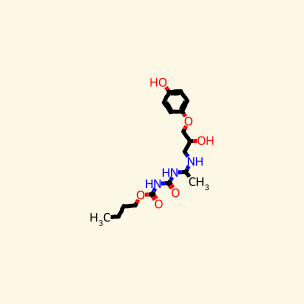 CCCCOC(=O)NC(=O)NC(C)NCC(O)COc1ccc(O)cc1